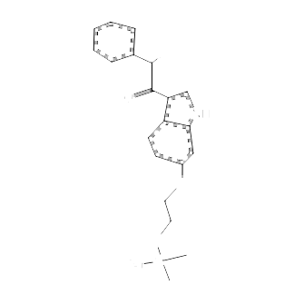 CC(C)(C)[Si](C)(C)OCCOc1ccc2c(C(=O)C(Cl)c3ccccc3)c[nH]c2c1